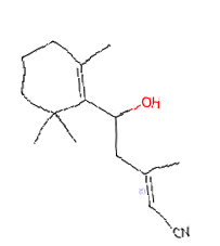 CC1=C(C(O)C/C(C)=C/C#N)C(C)(C)CCC1